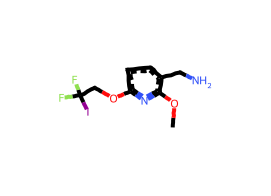 COc1nc(OCC(F)(F)I)ccc1CN